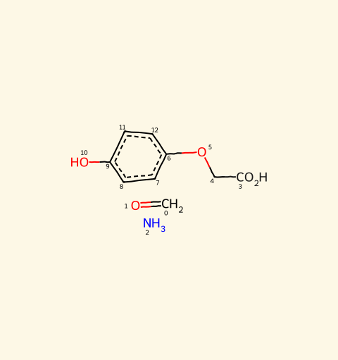 C=O.N.O=C(O)COc1ccc(O)cc1